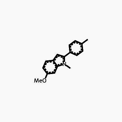 COc1ccc2cc(-c3ccc(C)cc3)n(C)c2c1